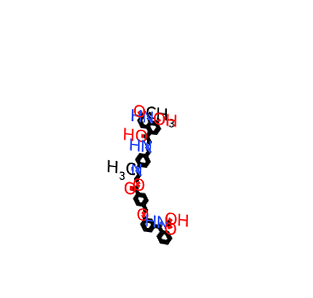 CNc1c(O)ccc(C(O)CNCc2ccc(N(C)CCOC(=O)c3ccc(COc4cccc(C(NC(=O)O)c5ccccc5)c4)cc3)cc2)c1/C=C\C=O